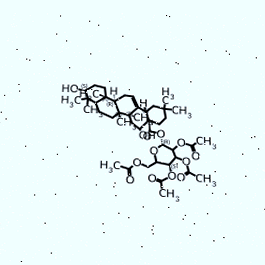 CC(=O)OCC1O[C@H](OC(=O)[C@]23CCC(C)(C)C[C@H]2C2=CC[C@@H]4[C@@]5(C)CC[C@H](O)C(C)(C)C5CC[C@@]4(C)[C@]2(C)CC3O)C(OC(C)=O)C(OC(C)=O)[C@H]1OC(C)=O